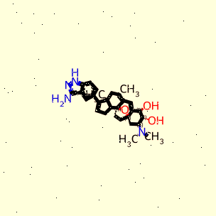 CC1=C2C=C3[C@@H](O)[C@H](O)[C@@H](N(C)C)C[C@]34CC[C@]2(O4)C2CC=C(c3ccc4[nH]nc(N)c4c3)[C@@]2(C)C1